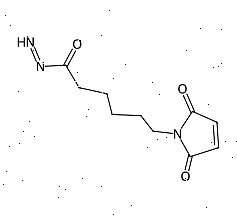 N=NC(=O)CCCCCN1C(=O)C=CC1=O